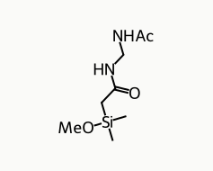 CO[Si](C)(C)CC(=O)NCNC(C)=O